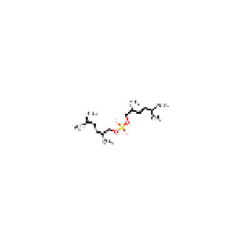 CCCCCCCCCCC(C)CCC(C)COS(=O)(=O)OCC(C)CCC(C)CCCCCCCCCC